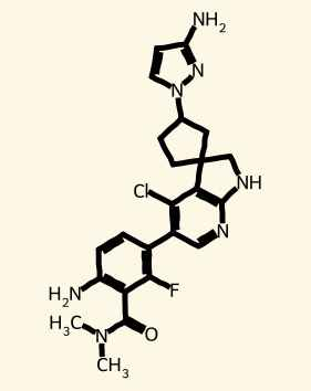 CN(C)C(=O)c1c(N)ccc(-c2cnc3c(c2Cl)C2(CCC(n4ccc(N)n4)C2)CN3)c1F